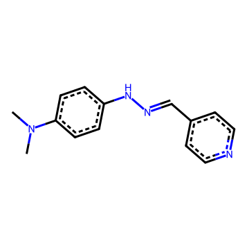 CN(C)c1ccc(N/N=C/c2ccncc2)cc1